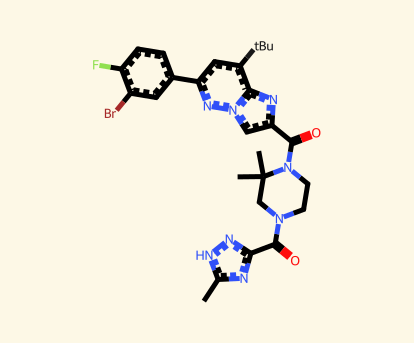 Cc1nc(C(=O)N2CCN(C(=O)c3cn4nc(-c5ccc(F)c(Br)c5)cc(C(C)(C)C)c4n3)C(C)(C)C2)n[nH]1